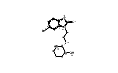 O=c1[nH]c2ccc(Br)cc2n1CCC[C@H]1NCCC[C@@H]1O